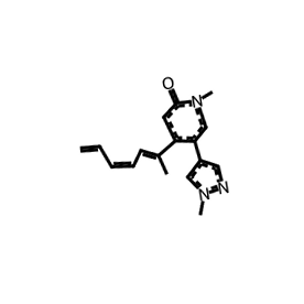 C=C/C=C\C=C(/C)c1cc(=O)n(C)cc1-c1cnn(C)c1